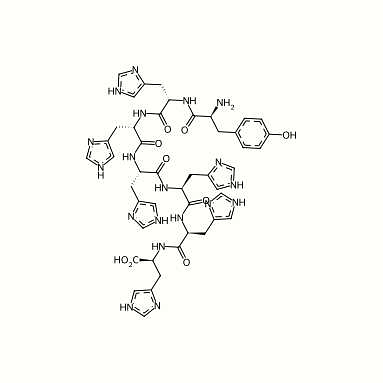 N[C@@H](Cc1ccc(O)cc1)C(=O)N[C@@H](Cc1c[nH]cn1)C(=O)N[C@@H](Cc1c[nH]cn1)C(=O)N[C@@H](Cc1c[nH]cn1)C(=O)N[C@@H](Cc1c[nH]cn1)C(=O)N[C@@H](Cc1c[nH]cn1)C(=O)N[C@@H](Cc1c[nH]cn1)C(=O)O